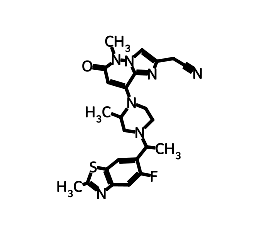 Cc1nc2cc(F)c(C(C)N3CCN(c4cc(=O)n(C)n5cc(CC#N)nc45)C(C)C3)cc2s1